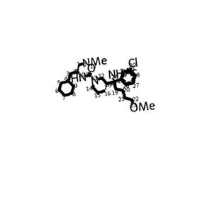 CNC[C@H](CC1CCCCC1)NC(=O)N1CCC[C@@H]([C@](CCCCOC)(NC(C)=O)c2cccc(Cl)c2)C1